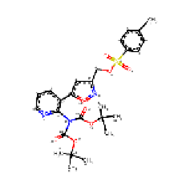 Cc1ccc(S(=O)(=O)OCc2cc(-c3cccnc3N(C(=O)OC(C)(C)C)C(=O)OC(C)(C)C)on2)cc1